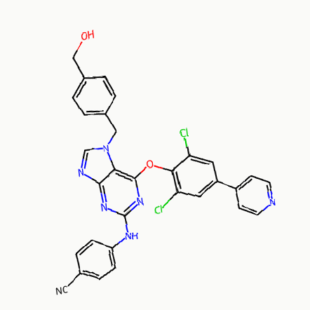 N#Cc1ccc(Nc2nc(Oc3c(Cl)cc(-c4ccncc4)cc3Cl)c3c(ncn3Cc3ccc(CO)cc3)n2)cc1